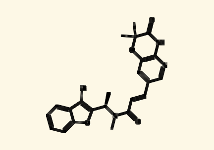 CCc1c([C@@H](C)N(C)C(=O)C=Cc2cnc3c(c2)OC(C)(C)C(=O)N3)oc2ccccc12